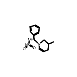 CC1CC=CN(Cc2ccccc2)C1.O=[SH](=O)O